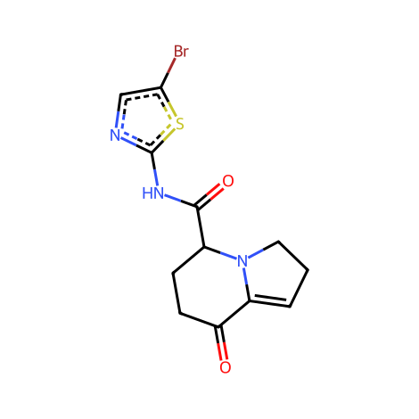 O=C1CCC(C(=O)Nc2ncc(Br)s2)N2CCC=C12